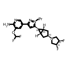 CC(C)n1nc(-c2cnc(N)c(OC(F)F)c2)cc1[C@H]1[C@@H]2C[C@@H](N3C[C@@H](F)[C@@H](F)C3)C[C@@H]21